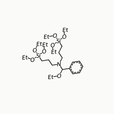 CCOC(c1ccccc1)N(CCC[Si](OCC)(OCC)OCC)CCC[Si](OCC)(OCC)OCC